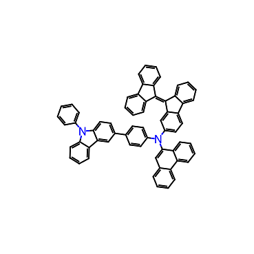 c1ccc(-n2c3ccccc3c3cc(-c4ccc(N(c5ccc6c(c5)C(=C5c7ccccc7-c7ccccc75)c5ccccc5-6)c5cc6ccccc6c6ccccc56)cc4)ccc32)cc1